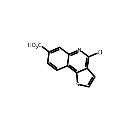 O=C(O)c1ccc2c(c1)nc(Cl)c1ccsc12